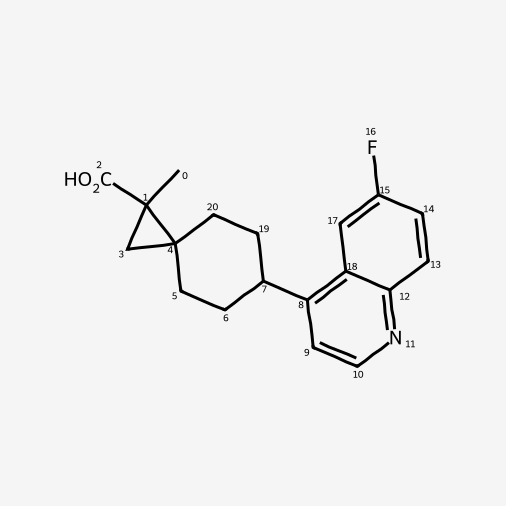 CC1(C(=O)O)CC12CCC(c1ccnc3ccc(F)cc13)CC2